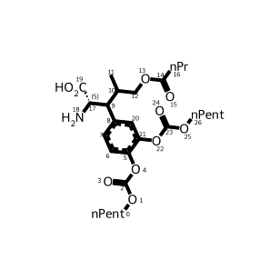 CCCCCOC(=O)Oc1ccc(C(C(C)COC(=O)CCC)[C@H](N)C(=O)O)cc1OC(=O)OCCCCC